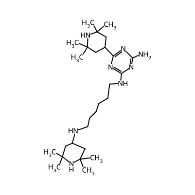 CC1(C)CC(NCCCCCCNc2nc(N)nc(C3CC(C)(C)NC(C)(C)C3)n2)CC(C)(C)N1